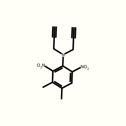 C#CCN(CC#C)c1c([N+](=O)[O-])cc(C)c(C)c1[N+](=O)[O-]